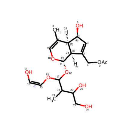 CC(=O)OCC1=C[C@H](O)[C@@H]2C(C)=CO[C@@H](OC(O/C=C\O)C(C)C(O)CO)[C@H]12